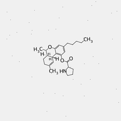 CCCCCc1cc(OC(=O)C2CCCN2)c2c(c1)OC(C)[C@@H]1CCC(C)=C[C@@H]21